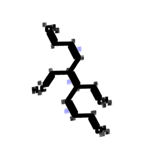 C=C\C=C/C(C=C)=C(C=C)/C=C\C=C